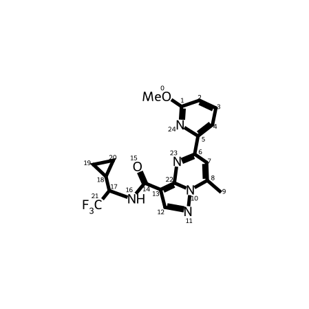 COc1cccc(-c2cc(C)n3ncc(C(=O)NC(C4CC4)C(F)(F)F)c3n2)n1